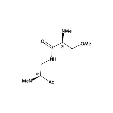 CN[C@@H](CNC(=O)[C@H](COC)NC)C(C)=O